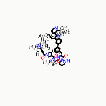 CCn1c(-c2cccnc2[C@H](C)OC)c(CC(C)(C)COC(C)=O)c2cc(-c3cccc(C[C@H](NC(=O)[C@H](C(C)C)N(C)C(=O)C4CN(C(=O)C#CC(C)(C)N(C)C)C[C@@H]4C)C(=O)N4CCCCN4)c3)ccc21